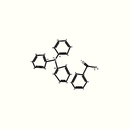 NC(=O)c1ccccc1.c1ccc(N(c2ccccc2)c2ccccc2)cc1